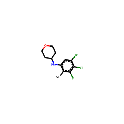 N#Cc1c(NC2CCOCC2)cc(Br)c(Cl)c1F